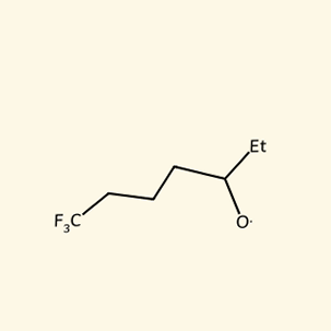 CCC([O])CCCC(F)(F)F